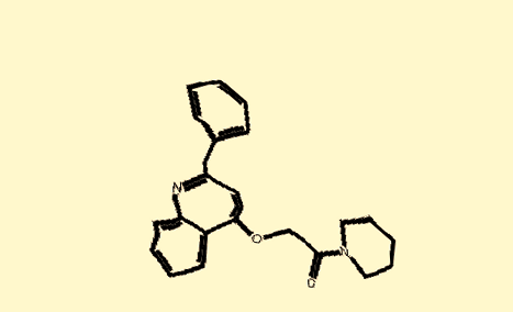 O=C(COc1cc(-c2ccccc2)nc2ccccc12)N1CCCCC1